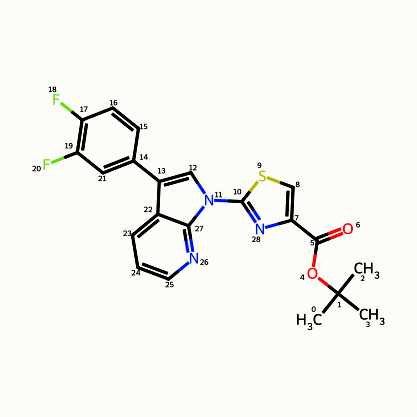 CC(C)(C)OC(=O)c1csc(-n2cc(-c3ccc(F)c(F)c3)c3cccnc32)n1